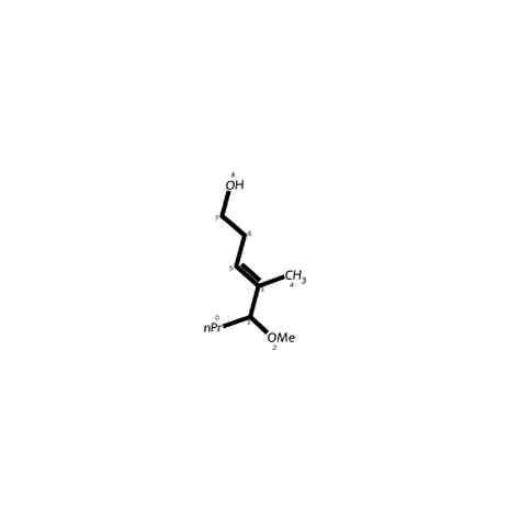 CCCC(OC)C(C)=CCCO